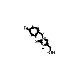 OCc1cn(Cc2ccc(F)cc2)c(=S)[nH]1